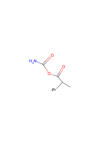 CC(C)C(C)C(=O)OC(N)=O